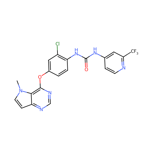 Cn1ccc2ncnc(Oc3ccc(NC(=O)Nc4ccnc(C(F)(F)F)c4)c(Cl)c3)c21